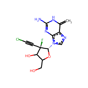 C=C1NC(N)=Nc2c1ncn2[C@@H]1OC(CO)C(O)[C@]1(F)C#CCl